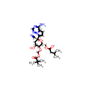 CC(C)CC(=O)OC[C@H]1O[C@@](C#N)(c2ccc3c(N)ncnn23)C[C@H](O)[C@@H]1OCOC(=O)C(C)(C)C